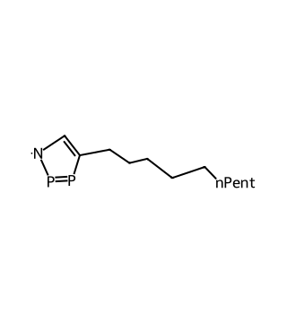 CCCCCCCCCCC1=C[N]P=P1